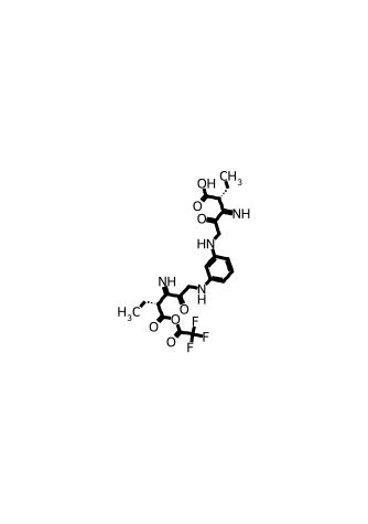 CC[C@H](C(=N)C(=O)CNc1cccc(NCC(=O)C(=N)[C@@H](CC)C(=O)OC(=O)C(F)(F)F)c1)C(=O)O